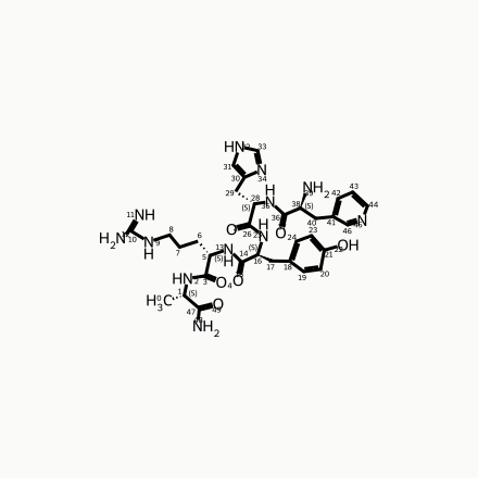 C[C@H](NC(=O)[C@H](CCCNC(=N)N)NC(=O)[C@H](Cc1ccc(O)cc1)NC(=O)[C@H](Cc1c[nH]cn1)NC(=O)[C@@H](N)Cc1cccnc1)C(N)=O